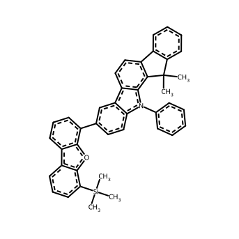 CC1(C)c2ccccc2-c2ccc3c4cc(-c5cccc6c5oc5c([Si](C)(C)C)cccc56)ccc4n(-c4ccccc4)c3c21